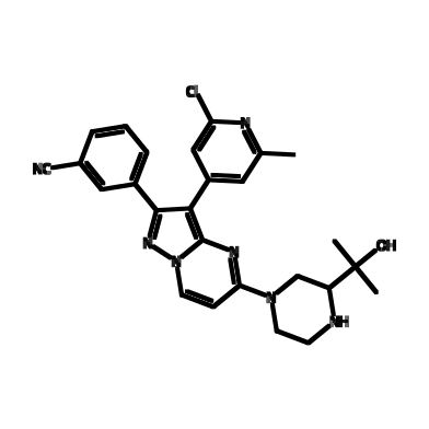 Cc1cc(-c2c(-c3cccc(C#N)c3)nn3ccc(N4CCNC(C(C)(C)O)C4)nc23)cc(Cl)n1